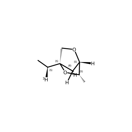 [3H][C@@H]1[C@@H]2OC[C@@]1([C@@H]([3H])C)O[C@H]2C